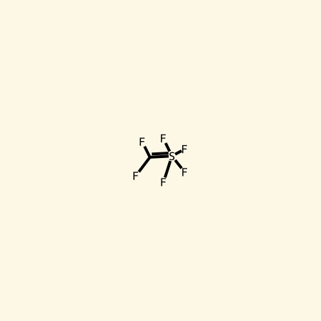 FC(F)=S(F)(F)(F)F